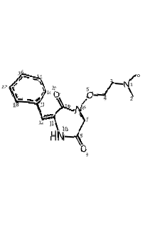 CN(C)CCON1CC(=O)NC(=Cc2ccccc2)C1=O